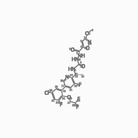 COc1cc(C(=O)NNC(=O)N[C@H](C)c2ncc(-c3cc(Cl)cc(F)c3OCC(F)F)cc2F)on1